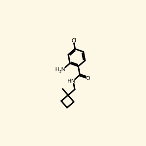 CC1(CNC(=O)c2ccc(Cl)cc2N)CCC1